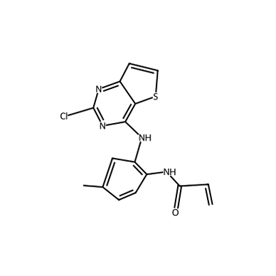 C=CC(=O)Nc1ccc(C)cc1Nc1nc(Cl)nc2ccsc12